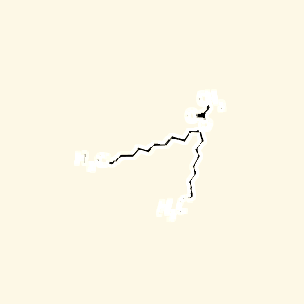 C=CC(=O)OC(CCCCCCCC)CCCCCCCCCCC